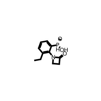 CCc1cccc([PH](=O)O)c1N1CCC1=O